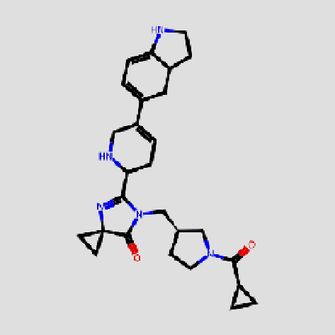 O=C(C1CC1)N1CC[C@@H](CN2C(=O)C3(CC3)N=C2C2CC=C(C3=CC=C4NCCC4C3)CN2)C1